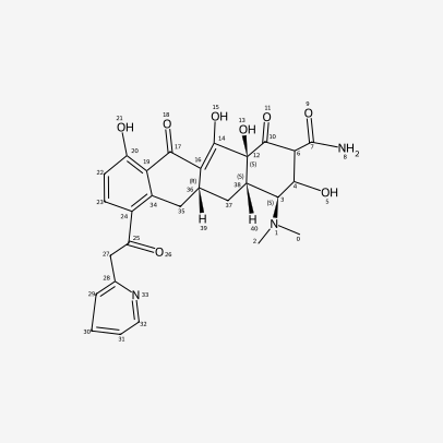 CN(C)[C@@H]1C(O)C(C(N)=O)C(=O)[C@@]2(O)C(O)=C3C(=O)c4c(O)ccc(C(=O)Cc5ccccn5)c4C[C@H]3C[C@@H]12